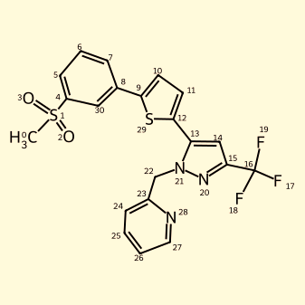 CS(=O)(=O)c1cccc(-c2ccc(-c3cc(C(F)(F)F)nn3Cc3ccccn3)s2)c1